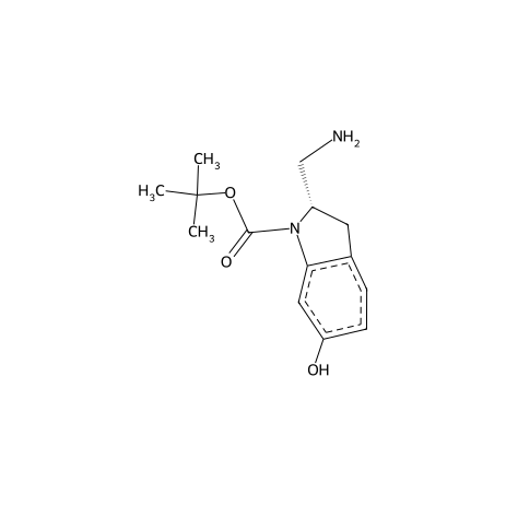 CC(C)(C)OC(=O)N1c2cc(O)ccc2C[C@H]1CN